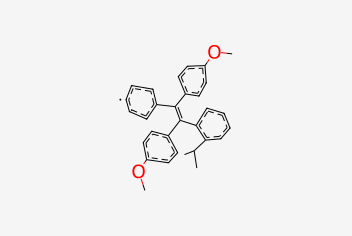 COc1ccc(C(=C(c2ccc(OC)cc2)c2ccccc2C(C)C)c2cc[c]cc2)cc1